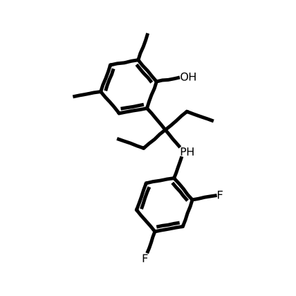 CCC(CC)(Pc1ccc(F)cc1F)c1cc(C)cc(C)c1O